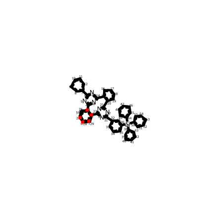 c1ccc(-c2nc(-c3ccccc3)nc(-c3ccccc3-c3nc(-c4ccccc4)nc(-c4cccc([Si](c5ccccc5)(c5ccccc5)c5ccccc5)c4)n3)n2)cc1